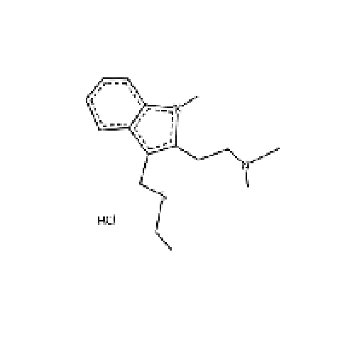 CCSCc1c(CCN(C)C)n(C)c2ccccc12.Cl